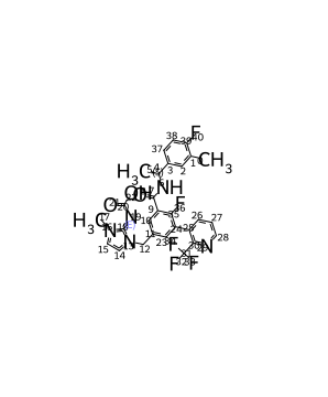 Cc1cc([C@H](C)NC(=O)c2cc(Cn3ccn(C)/c3=N\C(=O)O)cc(-c3cccnc3C(F)(F)F)c2F)ccc1F